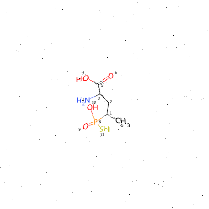 CC(CC(N)C(=O)O)P(=O)(O)S